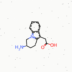 N[C@@H]1CCc2c(CC(=O)O)c3ccccc3n2C1